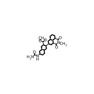 COC(=O)c1cc2cc(NC(N)=O)ccc2cc1-c1cc2c3c(cccc3c1)C(=O)N(C)C2=O